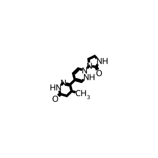 CC1CC(=O)NN=C1C1=CNN(N2CCNC2=O)C=C1